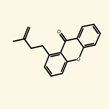 C=C(C)CCc1cccc2oc3ccccc3c(=O)c12